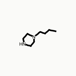 CCCCN1CCNCC1